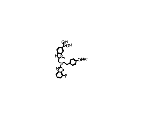 COc1ccc(CCN(Cc2nc3ccc(B(O)O)cc3n2C)c2nc3cccc(F)c3s2)cc1